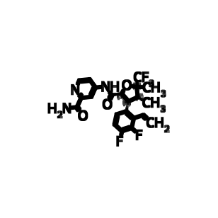 C=Cc1c([C@@H]2[C@@H](C(=O)Nc3ccnc(C(N)=O)c3)O[C@@](C)(C(F)(F)F)[C@@H]2C)ccc(F)c1F